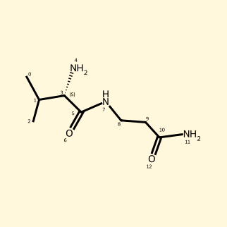 CC(C)[C@H](N)C(=O)NCCC(N)=O